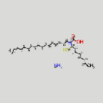 CCCCCCCCCCCCCCCCN(C(=O)O)C(S)CCCCCCC.N